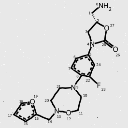 NC[C@H]1CN(c2ccc(N3CCON(Cc4ccco4)CC3)c(F)c2)C(=O)O1